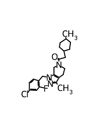 Cc1nn(Cc2ccc(Cl)cc2F)c2c1CCN(C(=O)CC1CCC(C)CC1)C2